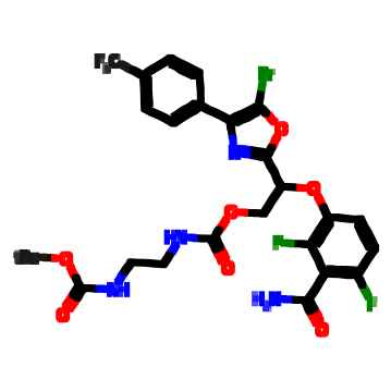 CC(C)(C)OC(=O)NCCNC(=O)OCC(Oc1ccc(F)c(C(N)=O)c1F)c1nc(-c2ccc(C(F)(F)F)cc2)c(Br)o1